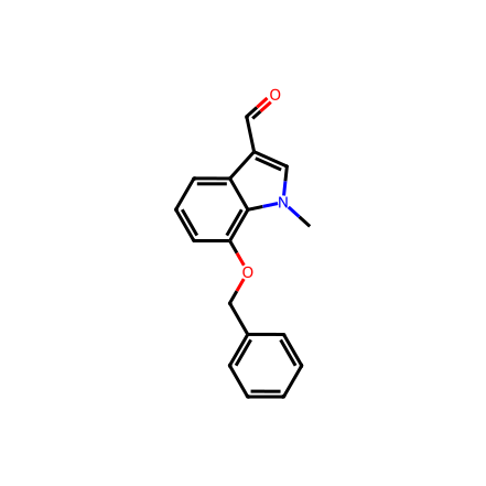 Cn1cc(C=O)c2cccc(OCc3ccccc3)c21